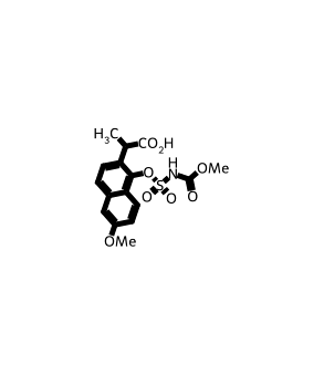 COC(=O)NS(=O)(=O)Oc1c(C(C)C(=O)O)ccc2cc(OC)ccc12